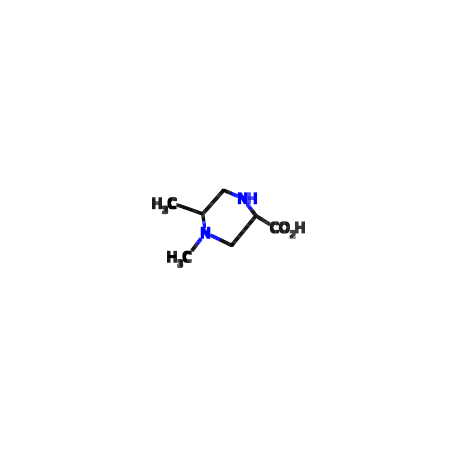 CC1CNC(C(=O)O)CN1C